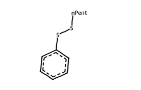 CCCCCSSc1ccccc1